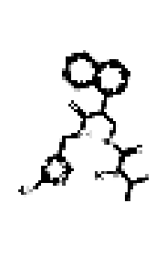 CC(C)[C@@H](O)C(=O)NCC(C(=O)NCc1cnc(N)s1)c1cccc2ccccc12